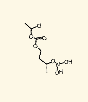 CC(Cl)OC(=O)OCC[C@@H](C)ON(O)O